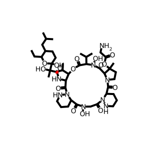 CCC1OC(O)(C(C)(O)C(=O)NC2C(=O)N3NCCCC3C(=O)N(O)CC(=O)N3NCCCC3C(=O)N3CCC(C)(OC(=O)CN)C3C(=O)N(O)C(C(C)C)C(=O)OC2C(C)C)CCC1CC(C)C